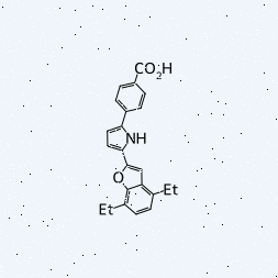 CCc1ccc(CC)c2oc(-c3ccc(-c4ccc(C(=O)O)cc4)[nH]3)cc12